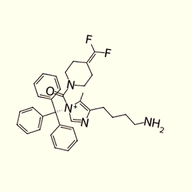 CC1=C(CCCCN)N=C[N@+]1(C(=O)N1CCC(=C(F)F)CC1)C(c1ccccc1)(c1ccccc1)c1ccccc1